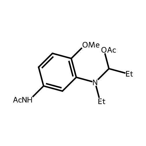 CCC(OC(C)=O)N(CC)c1cc(NC(C)=O)ccc1OC